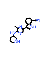 Cc1nc(-c2c[nH]c3c(C#N)cccc23)cnc1NC1CCCNC1